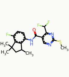 CSc1ncc(C(=O)Nc2ccc(F)c3c2C(C)CC3(C)C)c(C(F)F)n1